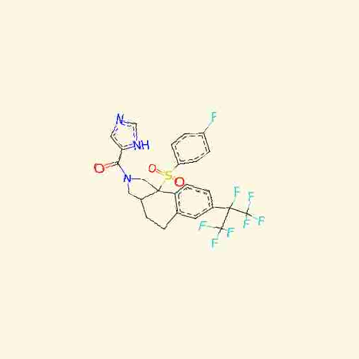 O=C(c1cnc[nH]1)N1CC2CCc3cc(C(F)(C(F)(F)F)C(F)(F)F)ccc3C2(S(=O)(=O)c2ccc(F)cc2)C1